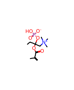 C=C(C)C(=O)OC(CC)(C[N+](C)(C)C)OP(=O)([O-])O